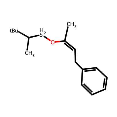 CC(=CCc1ccccc1)O[SiH2]C(C)C(C)(C)C